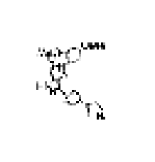 COc1ccc(-n2nc3c(-c4ccc(C5=CCN(C)CC5)cc4)n[nH]c3cc2=O)c(OC)c1